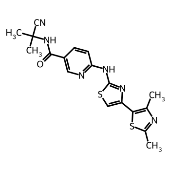 Cc1nc(C)c(-c2csc(Nc3ccc(C(=O)NC(C)(C)C#N)cn3)n2)s1